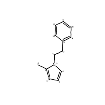 Cc1nccn1CCc1ccccc1